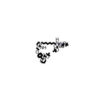 CC(C)(C)OC(=O)/N=C(/NCCCCCCCCN1CCN(CCOc2ccc(C3=NCCCN3C(=O)OC(C)(C)C)cc2)C1=N)NC(=O)OC(C)(C)C